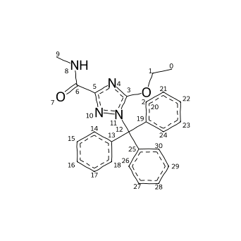 CCOc1nc(C(=O)NC)nn1C(c1ccccc1)(c1ccccc1)c1ccccc1